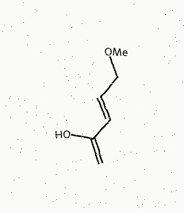 C=C(O)C=CCOC